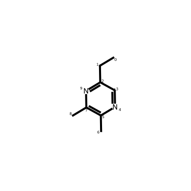 CCc1[c]nc(C)c(C)n1